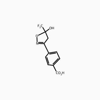 O=C(O)c1ccc(C2=NOC(O)(C(F)(F)F)C2)cc1